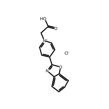 O=C(O)C[n+]1ccc(-c2nc3ccccc3o2)cc1.[Cl-]